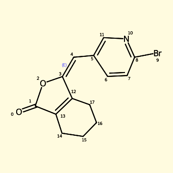 O=C1O/C(=C/c2ccc(Br)nc2)C2=C1CCCC2